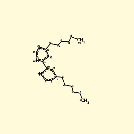 CCCCCCc1ccnc(-c2cc(CCCCCC)ccn2)c1